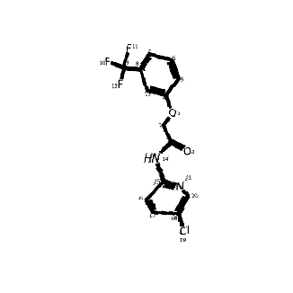 O=C(COc1cccc(C(F)(F)F)c1)Nc1ccc(Cl)cn1